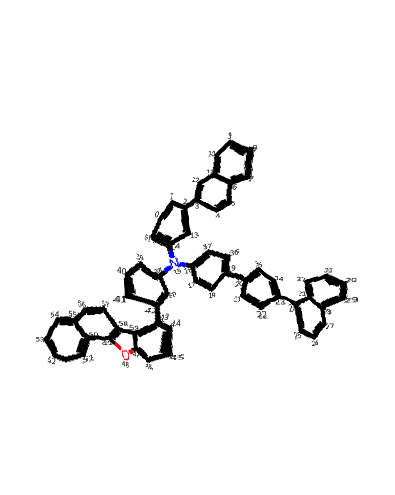 c1cc(-c2ccc3ccccc3c2)cc(N(c2ccc(-c3ccc(-c4cccc5ccccc45)cc3)cc2)c2cccc(-c3cccc4oc5c6ccccc6ccc5c34)c2)c1